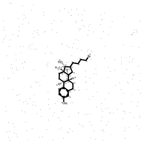 C[C@]12CC[C@@H]3c4ccc(O)cc4CC[C@H]3[C@@H]1CC(CCCCBr)[C@H]2O